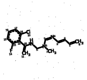 C=C/C=C/N=C\N(C)CNC(=C)c1c(F)cccc1Cl